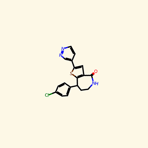 O=C1NCCC(c2ccc(Cl)cc2)c2sc(-c3ccnnc3)cc21